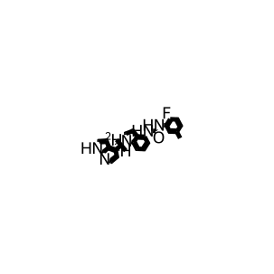 [2H]C([2H])(c1ccnc2[nH]ccc12)N1CCc2c(NC(=O)Nc3cc(C)ccc3F)cccc21